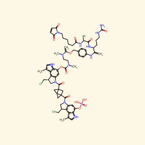 C=C(Nc1ccc(COC(=C)N(C)CCN(C)C(=O)Oc2cc3c(c4c(C)c[nH]c24)[C@H](CCl)CN3C(=O)C23CC4(C(=O)N5CC(CCl)c6c5cc(OP(=O)(O)O)c5[nH]cc(C)c65)CC42C3)cc1)C(CCCNC(N)=O)NC(=O)C(NC(=O)CCCCCN1C(=O)C=CC1=O)C(C)C